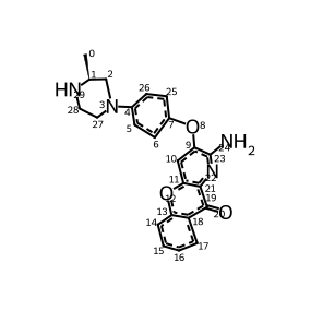 C[C@H]1CN(c2ccc(Oc3cc4oc5ccccc5c(=O)c4nc3N)cc2)CCN1